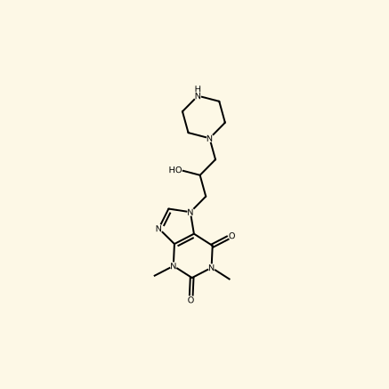 Cn1c(=O)c2c(ncn2CC(O)CN2CCNCC2)n(C)c1=O